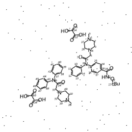 CN1CCN(CC(=O)N(c2ccccc2)c2ccc(C(=O)NOC(C)(C)C)cc2)CC1.CN1CCN(CC(=O)N(c2ccccc2)c2ccccc2)CC1.O=C(O)C(=O)O.O=C(O)C(=O)O